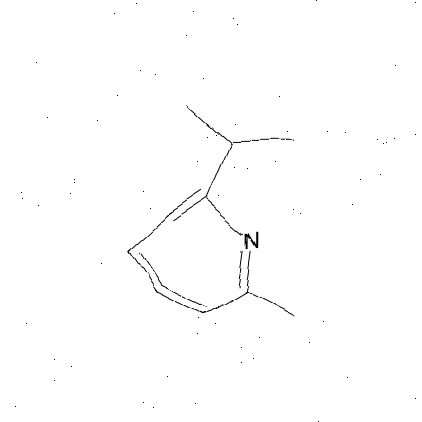 CC1=NC(C(C)C)=CC=C=C1